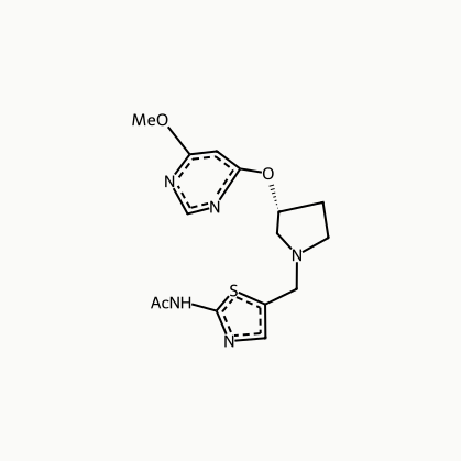 COc1cc(O[C@@H]2CCN(Cc3cnc(NC(C)=O)s3)C2)ncn1